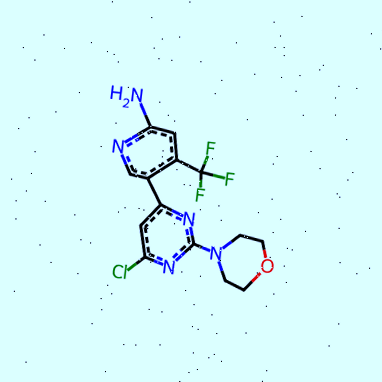 Nc1cc(C(F)(F)F)c(-c2cc(Cl)nc(N3CCOCC3)n2)cn1